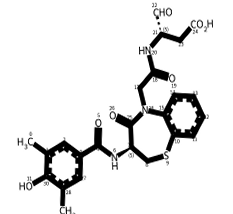 Cc1cc(C(=O)N[C@@H]2CSc3ccccc3N(CC(=O)N[C@H](C=O)CC(=O)O)C2=O)cc(C)c1O